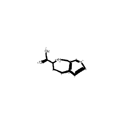 O=C(O)C1CCc2ccncc2N1